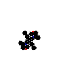 c1ccc(-c2ccc(-c3c4ccc(N(c5ccc6ccccc6c5)c5cccc6oc7ccccc7c56)cc4c(-c4ccc(-c5ccccc5)cc4)c4ccc(N(c5ccc6ccccc6c5)c5cccc6oc7ccccc7c56)cc34)cc2)cc1